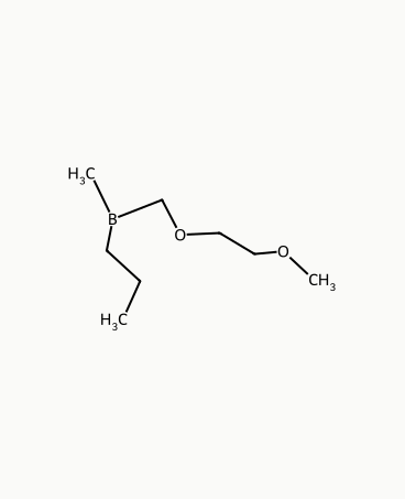 CCCB(C)COCCOC